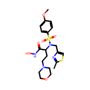 COc1ccc(S(=O)(=O)N(Cc2csc(C)n2)C(CCN2CCOCC2)C(=O)NO)cc1